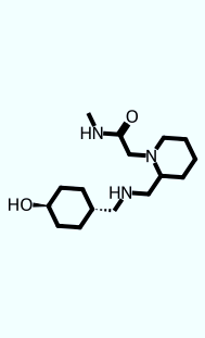 CNC(=O)CN1CCCCC1CNC[C@H]1CC[C@H](O)CC1